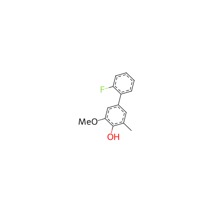 COc1cc(-c2ccccc2F)cc(C)c1O